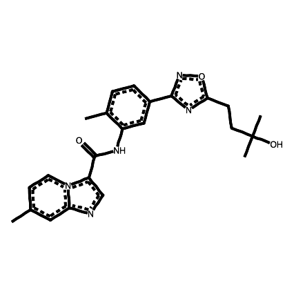 Cc1ccn2c(C(=O)Nc3cc(-c4noc(CCC(C)(C)O)n4)ccc3C)cnc2c1